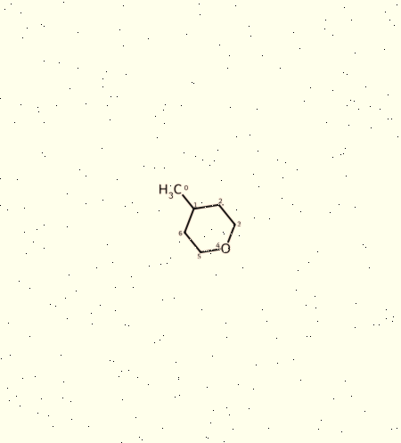 CC1[CH]COCC1